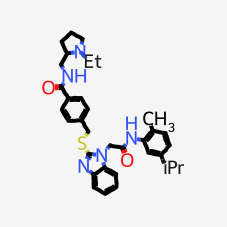 CCN1CCCC1CNC(=O)c1ccc(CSc2nc3ccccc3n2CC(=O)Nc2cc(C(C)C)ccc2C)cc1